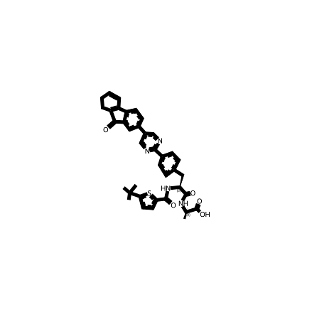 C[C@@H](NC(=O)[C@H](Cc1ccc(-c2ncc(-c3ccc4c(c3)C(=O)C3=C4C=CCC3)cn2)cc1)NC(=O)c1ccc(C(C)(C)C)s1)C(=O)O